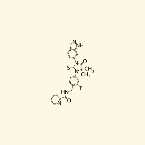 CC1(C)C(=O)N(c2ccc3cn[nH]c3c2)C(=S)N1c1ccc(CNC(=O)c2ccccn2)c(F)c1